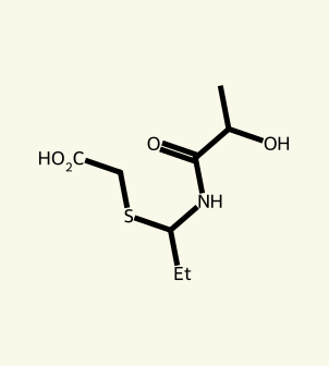 CCC(NC(=O)C(C)O)SCC(=O)O